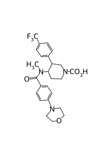 CN(C(=O)c1ccc(N2CCOCC2)cc1)C1CCN(C(=O)O)CC1c1ccc(C(F)(F)F)cc1